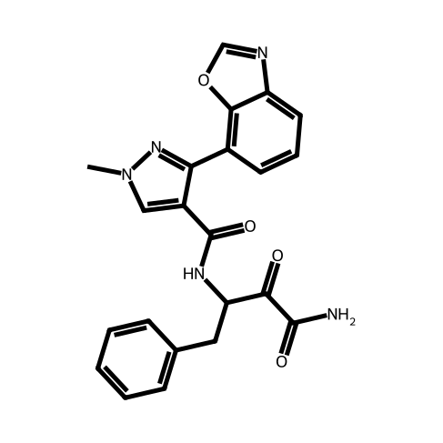 Cn1cc(C(=O)NC(Cc2ccccc2)C(=O)C(N)=O)c(-c2cccc3ncoc23)n1